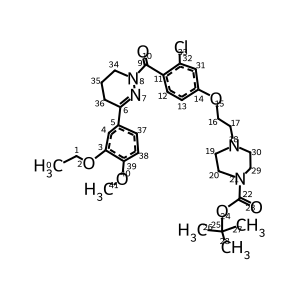 CCOc1cc(C2=NN(C(=O)c3ccc(OCCN4CCN(C(=O)OC(C)(C)C)CC4)cc3Cl)CCC2)ccc1OC